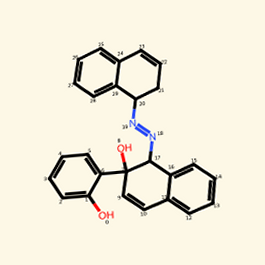 Oc1ccccc1C1(O)C=Cc2ccccc2C1N=NC1CC=Cc2ccccc21